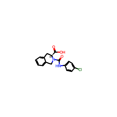 O=C(O)[C@@H]1Cc2ccccc2CN1C(=O)Nc1ccc(Cl)cc1